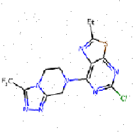 CCc1nc2c(N3CCn4c(nnc4C(F)(F)F)C3)nc(Cl)nc2s1